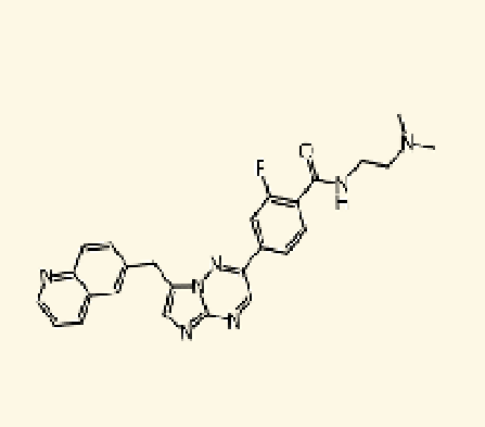 CN(C)CCNC(=O)c1ccc(-c2cnc3ncc(Cc4ccc5ncccc5c4)n3n2)cc1F